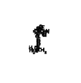 C[Si](C)(C)CCOCOCCOCC1CCCCN1c1cc(Cl)c(C#N)cc1[N+](=O)[O-]